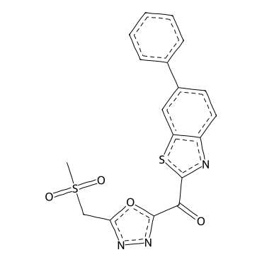 CS(=O)(=O)Cc1nnc(C(=O)c2nc3ccc(-c4ccccc4)cc3s2)o1